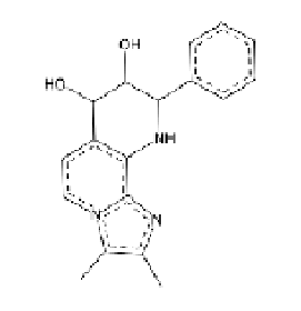 Cc1nc2c3c(ccn2c1C)C(O)C(O)C(c1ccccc1)N3